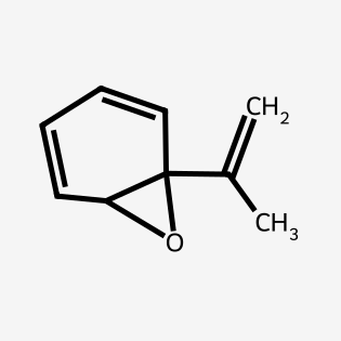 C=C(C)C12C=CC=CC1O2